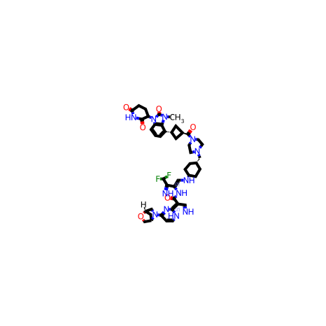 Cn1c(=O)n(C2CCC(=O)NC2=O)c2cccc([C@H]3C[C@H](C(=O)N4CCN(C[C@H]5CC[C@H](N/C=C(\NC(=O)/C(C=N)=C6\N=C(N7C[C@H]8CC7CO8)C=CN6)C(=N)C(F)F)CC5)CC4)C3)c21